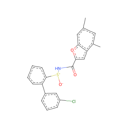 Cc1cc(C)c2cc(C(=O)N[S+]([O-])c3ccccc3-c3cccc(Cl)c3)oc2c1